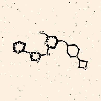 Cc1cc(OC2CCN(C3COC3)CC2)cc(Nc2ncc(-c3ccccn3)s2)n1